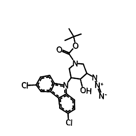 CC(C)(C)OC(=O)N1CC(N=[N+]=[N-])C(O)C(n2c3ccc(Cl)cc3c3cc(Cl)ccc32)C1